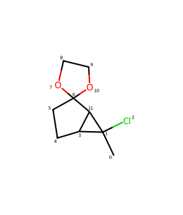 CC1(Cl)C2CCC3(OCCO3)C21